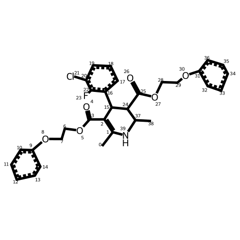 CC1=C(C(=O)OCCOc2ccccc2)C(c2cccc(Cl)c2F)C(C(=O)OCCOc2ccccc2)C(C)N1